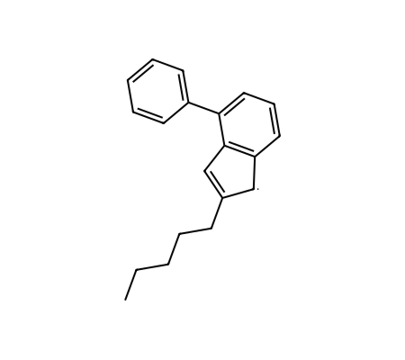 CCCCCC1=Cc2c(cccc2-c2ccccc2)[CH]1